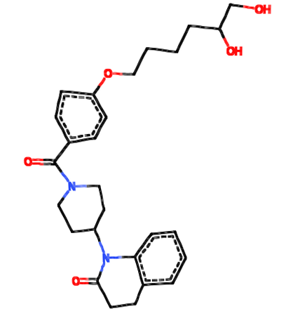 O=C(c1ccc(OCCCCC(O)CO)cc1)N1CCC(N2C(=O)CCc3ccccc32)CC1